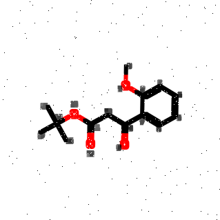 COc1ccccc1C(=O)CC(=O)OC(C)(C)C